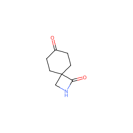 O=C1CCC2(CC1)CNC2=O